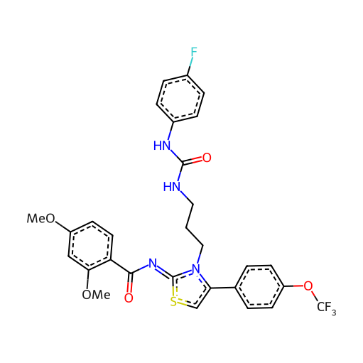 COc1ccc(C(=O)/N=c2\scc(-c3ccc(OC(F)(F)F)cc3)n2CCCNC(=O)Nc2ccc(F)cc2)c(OC)c1